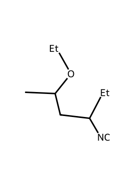 [C-]#[N+]C(CC)CC(C)OCC